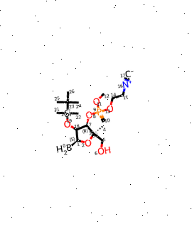 B[C@@H]1O[C@](C)(CO)[C@H](OP(=C)(OC)OCC[N+]#[C-])C1O[Si](C)(C)C(C)(C)C